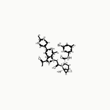 CC(=O)c1nn(CC(=O)N2[C@H](C(=O)Nc3cc(C)cc(Br)n3)C[C@@]3(C)C[C@@H]23)c2c(C)nc(-c3cnc(C)nc3)cc12